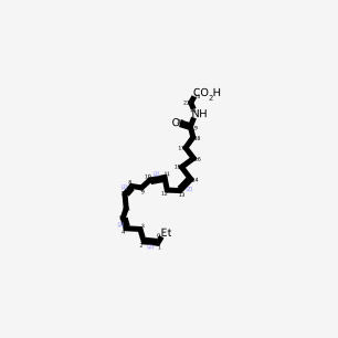 CC/C=C\C/C=C\C/C=C\C/C=C\C/C=C\CCCCC(=O)NCC(=O)O